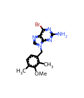 COc1c(C)ccc(Cn2cnc3c(Br)nc(N)nc32)c1C